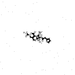 CC(=O)OCC1=C(C(=O)[O-])N2C(=O)[C@@](C)(NC(=O)Cc3cccs3)[C@H]2SC1.[Na+]